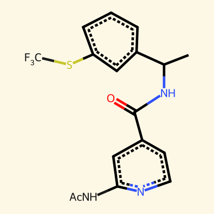 CC(=O)Nc1cc(C(=O)NC(C)c2cccc(SC(F)(F)F)c2)ccn1